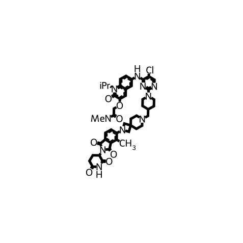 CNC(=O)COc1cc2cc(Nc3nc(N4CCC(CN5CCC6(CC5)CN(c5ccc7c(c5C)C(=O)N(C5CCC(=O)NC5=O)C7=O)C6)CC4)ncc3Cl)ccc2n(C(C)C)c1=O